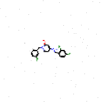 O=c1cc(NCc2ccc(F)cc2F)ccn1Cc1cccc(F)c1